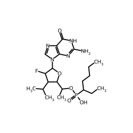 CCCCC(CC)P(=O)(O)OC(C)C1OC(n2cnc3c(=O)[nH]c(N)nc32)C(F)C1C(C)C